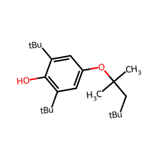 CC(C)(C)CC(C)(C)Oc1cc(C(C)(C)C)c(O)c(C(C)(C)C)c1